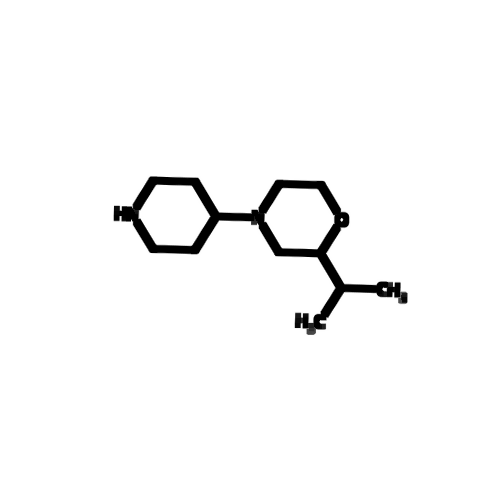 CC(C)C1CN(C2CCNCC2)CCO1